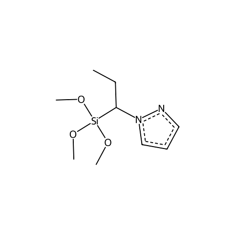 CCC(n1cccn1)[Si](OC)(OC)OC